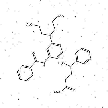 CC(=O)OCCN(CCOC(C)=O)c1cccc(NC(=O)c2ccccc2)c1.COC(=O)CCN(C)c1ccccc1